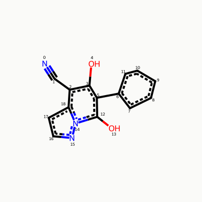 N#Cc1c(O)c(-c2ccccc2)c(O)n2nccc12